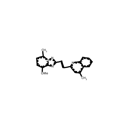 COc1ccc(C)n2nc(C=Cc3cc(C)c4ccccc4n3)nc12